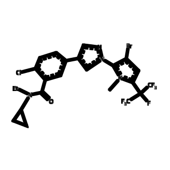 CCN(C(=O)c1cc(-c2cnn(-c3c(Br)cc(C(F)(C(F)(F)F)C(F)(F)F)n3C)c2)ccc1Cl)C1CC1